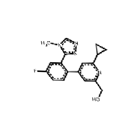 Cn1cnnc1-c1cc(F)ccc1-c1cc(CO)nc(C2CC2)c1